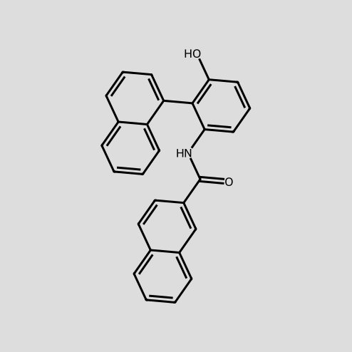 O=C(Nc1cccc(O)c1-c1cccc2ccccc12)c1ccc2ccccc2c1